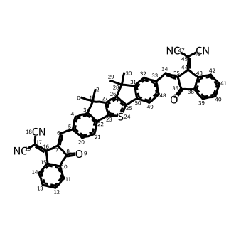 CC1(C)c2cc(/C=C3\C(=O)c4ccccc4C3=C(C#N)C#N)ccc2-c2sc3c(c21)C(C)(C)c1cc(/C=C2\C(=O)c4ccccc4C2=C(C#N)C#N)ccc1-3